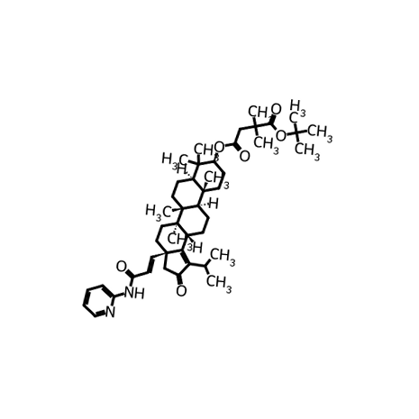 CC(C)C1=C2[C@H]3CC[C@@H]4[C@@]5(C)CC[C@H](OC(=O)CC(C)(C)C(=O)OC(C)(C)C)C(C)(C)[C@@H]5CC[C@@]4(C)[C@]3(C)CC[C@@]2(/C=C/C(=O)Nc2ccccn2)CC1=O